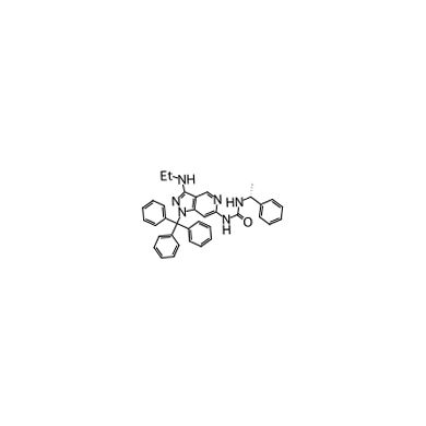 CCNc1nn(C(c2ccccc2)(c2ccccc2)c2ccccc2)c2cc(NC(=O)N[C@H](C)c3ccccc3)ncc12